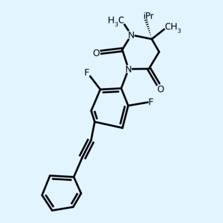 CC(C)[C@]1(C)CC(=O)N(c2c(F)cc(C#Cc3ccccc3)cc2F)C(=O)N1C